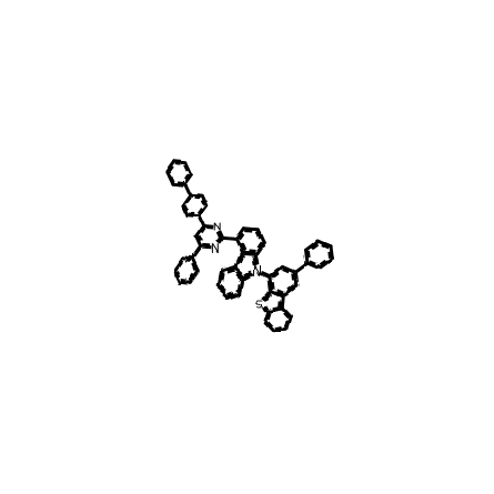 c1ccc(-c2ccc(-c3cc(-c4ccccc4)nc(-c4cccc5c4c4ccccc4n5-c4cc(-c5ccccc5)cc5c4sc4ccccc45)n3)cc2)cc1